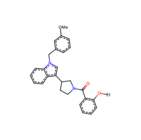 CCOc1ccccc1C(=O)N1CCC(c2cn(Cc3cccc(OC)c3)c3ccccc23)C1